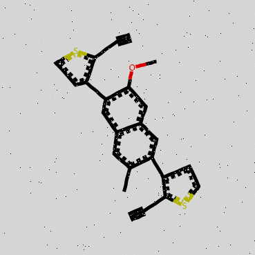 C#Cc1sccc1-c1cc2cc(OC)c(-c3ccsc3C#C)cc2cc1C